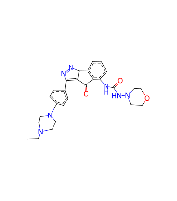 CCN1CCN(c2ccc(C3=C4C(=O)c5c(NC(=O)NN6CCOCC6)cccc5C4N=N3)cc2)CC1